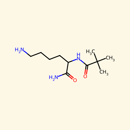 CC(C)(C)C(=O)NC(CCCCN)C(N)=O